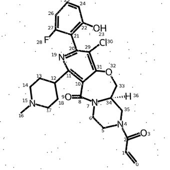 C=CC(=O)N1CCN2C(=O)c3c(C4CCN(C)CC4)nc(-c4c(O)cccc4F)c(Cl)c3OC[C@H]2C1